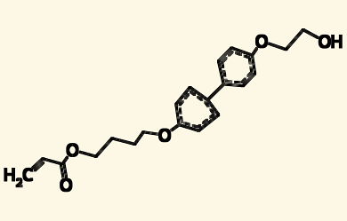 C=CC(=O)OCCCCOc1ccc(-c2ccc(OCCO)cc2)cc1